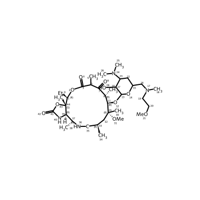 CC[C@H]1OC(=O)C(C)C(=O)[C@H](C)[C@@H](OC2OC(CN(C)CCOC)CC(N(C)C)C2O)[C@](C)(OC)C[C@@H](C)CN[C@H](C)[C@H]2NC(=O)O[C@@]21C